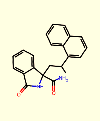 CC(CC1(C(N)=O)NC(=O)c2ccccc21)c1cccc2ccccc12